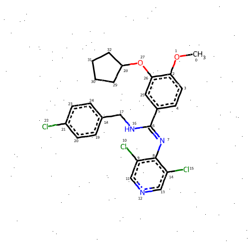 COc1ccc(C(=Nc2c(Cl)cncc2Cl)NCc2ccc(Cl)cc2)cc1OC1CCCC1